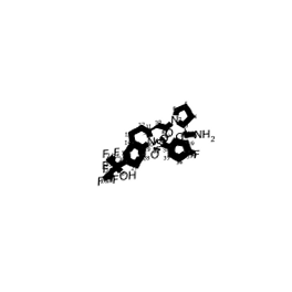 NC(=O)[C@H]1CCCN1C(=O)C[C@@H]1CCc2cc(C(O)(C(F)(F)F)C(F)(F)F)ccc2N1S(=O)(=O)c1ccc(F)cc1